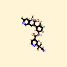 Cc1cc2c(cn1)cc(-c1cc(NC(=O)c3ccnc(C(C)(C)C#N)c3)ccc1C)c(=O)n2C